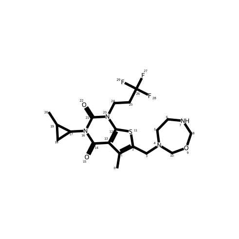 Cc1c(CN2CCNCOC2)sc2c1c(=O)n(C1CC1C)c(=O)n2CCC(F)(F)F